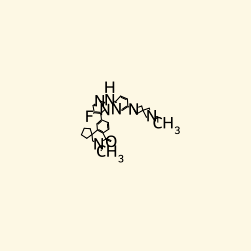 CCN1CC2(C1)CN(c1ccc(Nc3ncc(F)c(-c4ccc5c(c4)C4(CCCC4)CN(C)C5=O)n3)nc1)C2